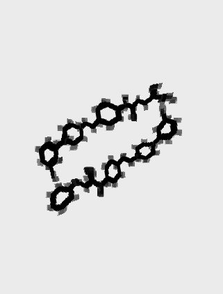 NC(=O)CCC(=O)NC1CCC(CCN2CCN(c3cccc(F)c3)CC2)CC1.O=C(COc1ccccc1)NC1CCC(CCN2CCN(c3cccc(F)c3)CC2)CC1